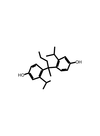 CCCC(C)(c1ccc(O)cc1C(C)C)c1ccc(O)cc1C(C)C